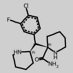 NC(=O)[C@]1([C](c2ccc(Cl)c(F)c2)[C@H]2CCCCN2)CCCCN1